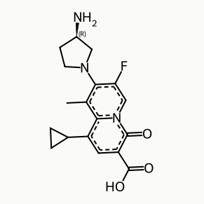 Cc1c(N2CC[C@@H](N)C2)c(F)cn2c(=O)c(C(=O)O)cc(C3CC3)c12